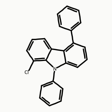 Clc1cccc2c3c(-c4ccccc4)cccc3n(-c3ccccc3)c12